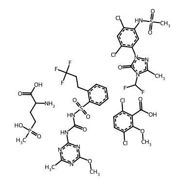 COc1c(Cl)ccc(Cl)c1C(=O)O.COc1nc(C)nc(NC(=O)NS(=O)(=O)c2ccccc2CCC(F)(F)F)n1.CP(=O)(O)CCC(N)C(=O)O.Cc1nn(-c2cc(NS(C)(=O)=O)c(Cl)cc2Cl)c(=O)n1C(F)F